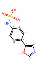 O=S(=O)(O)Nc1ccc(-c2cnco2)cc1